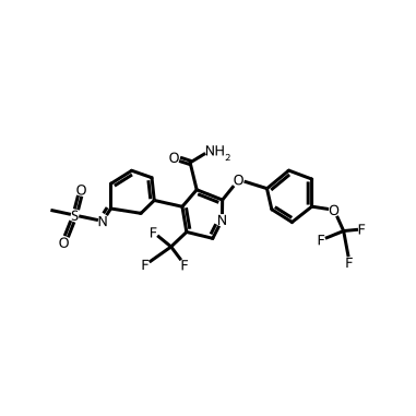 CS(=O)(=O)N=C1C=CC=C(c2c(C(F)(F)F)cnc(Oc3ccc(OC(F)(F)F)cc3)c2C(N)=O)C1